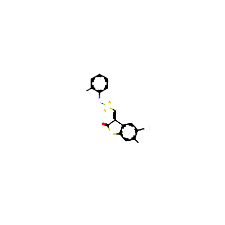 Cc1cc2c(cc1C)/C(=C/S(=O)(=O)Nc1ccccc1C(=O)O)C(=O)S2